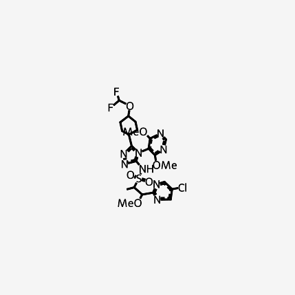 COc1ncnc(OC)c1-n1c(NS(=O)(=O)C(C)C(OC)c2ncc(Cl)cn2)nnc1C1CCC(OC(F)F)CC1